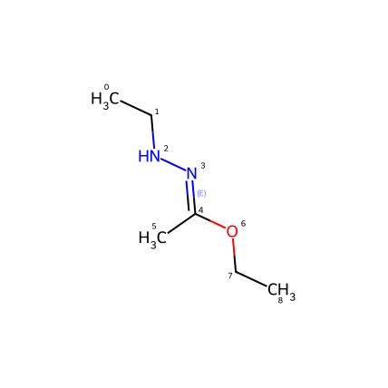 CCN/N=C(\C)OCC